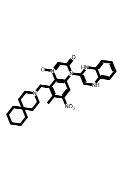 Cc1c([N+](=O)[O-])cc2c(c1CN1CCC3(CCCCC3)CC1)[n+]([O-])cc(=O)n2C1=CNc2ccccc2N1